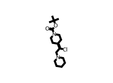 CC(C)(C)OC(=O)N1CCC(=C(Cl)CN2CCCCC2)CC1